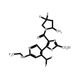 CCOC(=O)c1nc(C(=O)N2CC(F)(F)CC2C)c(-c2cnc(NCC(F)(F)F)cc2C(F)F)s1